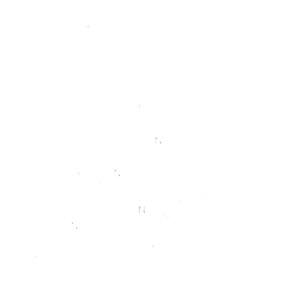 CC(C)N1CC2N(C(=O)C(N3CCOCC3)CN2S(=O)(=O)c2ccc(Cl)cc2Cl)C(Cc2ccc(Cl)cc2)C1=O